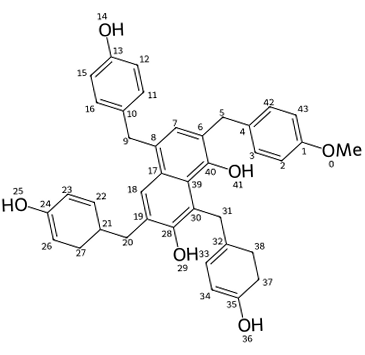 COc1ccc(Cc2cc(Cc3ccc(O)cc3)c3cc(CC4C=CC(O)=CC4)c(O)c(CC4=CC=C(O)CC4)c3c2O)cc1